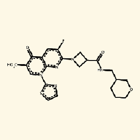 O=C(O)c1cn(-c2nccs2)c2nc(N3CC(C(=O)NCC4CCCOC4)C3)c(F)cc2c1=O